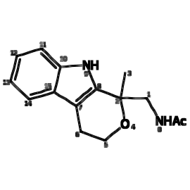 CC(=O)NCC1(C)OCCc2c1[nH]c1ccccc21